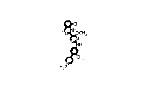 COc1nc(Nc2ccc(C3CCN(C)CC3)c(C)c2)ncc1C(=O)Nc1c(Cl)cccc1Cl